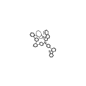 c1ccc(-c2ccc3c(c2)-c2ccccc2C32CCCCC3CCCC2C3)c(-c2ccc(N(c3ccc(-c4cccc5c4sc4ccccc45)cc3)c3cnc4c(ccc5cccnc54)c3)cc2)c1